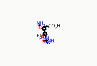 CCOc1cc(-c2cc(CCC(=O)O)cc(OCCN)c2)ccc1-c1nc2[nH]nnc2c(=O)[nH]1